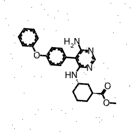 COC(=O)[C@H]1CCC[C@H](Nc2ncnc(N)c2-c2ccc(Oc3ccccc3)cc2)C1